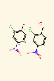 Cc1ccc([N+](=O)[O-])cc1Cl.Cc1ccc([N+](=O)[O-])cc1Cl.O